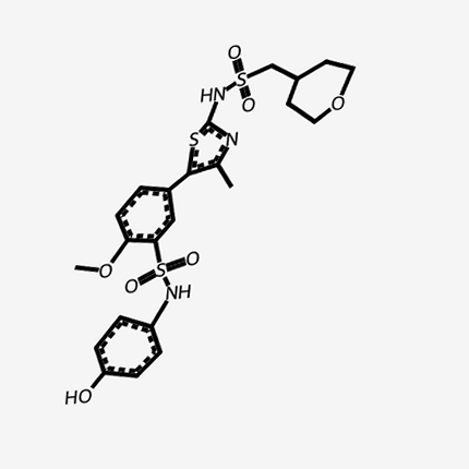 COc1ccc(-c2sc(NS(=O)(=O)CC3CCOCC3)nc2C)cc1S(=O)(=O)Nc1ccc(O)cc1